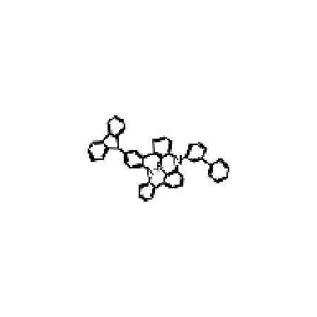 c1ccc(-c2cccc(N3c4cccc5c4B4c6c(cccc63)-c3cc(C6c7ccccc7-c7ccccc76)ccc3N4c3ccccc3-5)c2)cc1